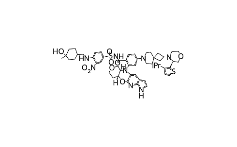 CC(C)c1ccsc1[C@@H]1COCCN1C1CC2(CCN(c3ccc(C(=O)NS(=O)(=O)c4ccc(NCC5CCC(C)(O)CC5)c([N+](=O)[O-])c4)c(N4c5cc6cc[nH]c6nc5O[C@@H]5CCOC[C@H]54)c3)CC2)C1